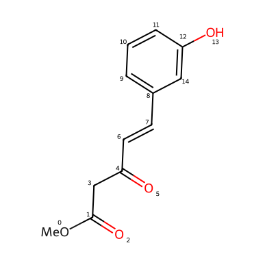 COC(=O)CC(=O)C=Cc1cccc(O)c1